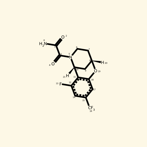 NC(=O)C(=O)N1CC[C@H]2C[C@@H]1c1c(F)cc(C(F)(F)F)cc1O2